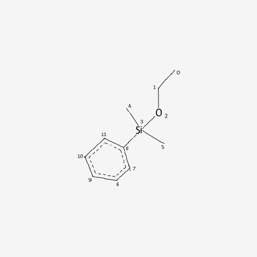 CCO[Si](C)(C)c1[c]cccc1